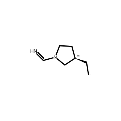 [CH2]C[C@@H]1CCN(C=N)C1